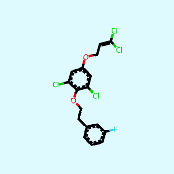 Fc1cccc(CCOc2c(Cl)cc(OCC=C(Cl)Cl)cc2Cl)c1